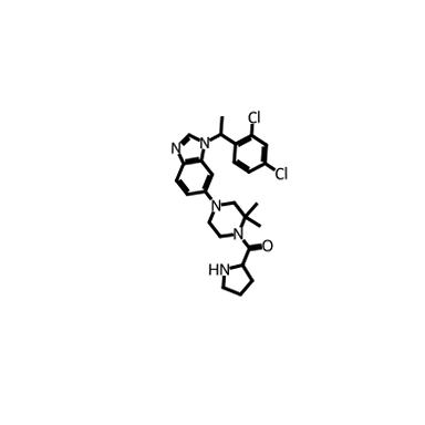 CC(c1ccc(Cl)cc1Cl)n1cnc2ccc(N3CCN(C(=O)C4CCCN4)C(C)(C)C3)cc21